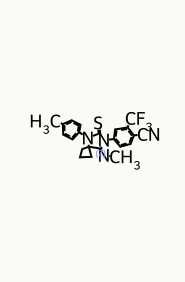 C/N=C1\N(c2ccc(C#N)c(C(F)(F)F)c2)C(=S)N(c2ccc(C)cc2)C12CCC2